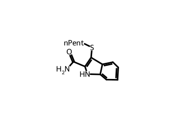 CCCCCSc1c(C(N)=O)[nH]c2ccccc12